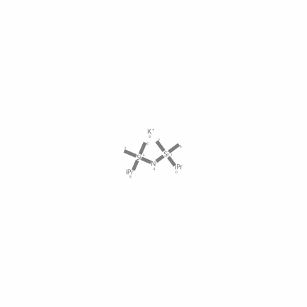 CC(C)[Si](C)(C)[N-][Si](C)(C)C(C)C.[K+]